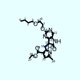 CCCCO[C@H](C)COc1ncc2c(n1)/C(=C/c1[nH]c(C)cc1C(=O)OCC)C(=O)N2